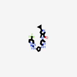 O=C1c2cnc(C3CC3)cc2CN1c1ccc(N[C@H]2CC[C@H](Nc3nc4cc(C(F)(F)F)ccn4n3)C2)nc1